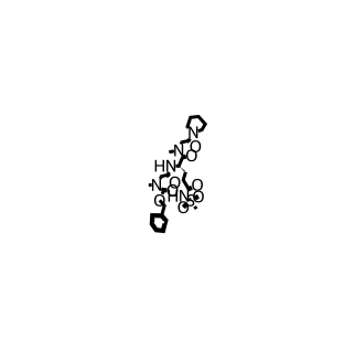 CN(CC(=O)N[C@@H](CCC(=O)NS(C)(=O)=O)C(=O)N(C)CC(=O)N1CCCCC1)C(=O)OCc1ccccc1